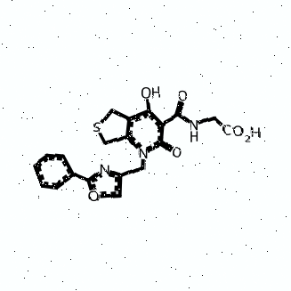 O=C(O)CNC(=O)c1c(O)c2c(n(Cc3coc(-c4ccccc4)n3)c1=O)CSC2